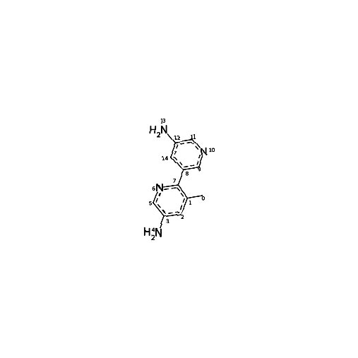 Cc1cc(N)cnc1-c1cncc(N)c1